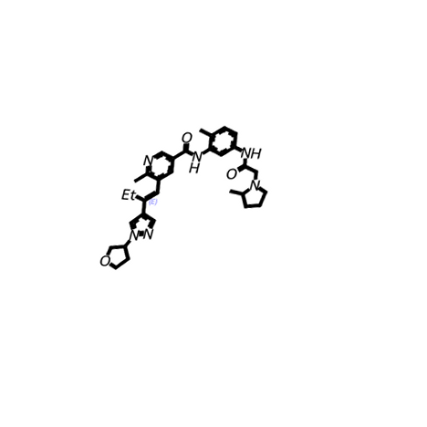 CC/C(=C\c1cc(C(=O)Nc2cc(NC(=O)CN3CCCC3C)ccc2C)cnc1C)c1cnn(C2CCOC2)c1